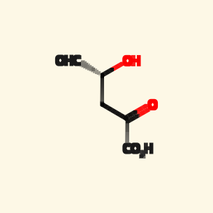 O=C[C@H](O)CC(=O)C(=O)O